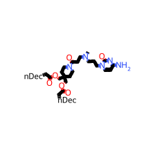 CCCCCCCCCCCC(=O)OCC1(COC(=O)CCCCCCCCCCC)CCN(C(=O)CCN(C)CCCn2ccc(N)nc2=O)CC1